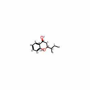 CCC(C)C1CC(=O)c2ccccc2O1